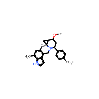 CCOC1CC(c2ccc(C(=O)O)cc2)N(Cc2c(OC)cc(C)c3[nH]ccc23)C2CC12